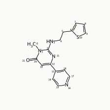 Cn1c(NCCc2cccs2)nc(-c2ccncc2)cc1=O